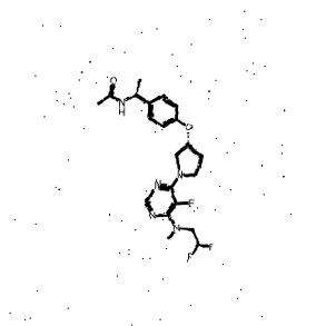 CC(=O)N[C@@H](C)c1ccc(O[C@@H]2CCN(c3ncnc(N(C)CC(F)F)c3F)C2)cc1